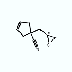 N#CC1(C[C@H]2CO2)CC=CC1